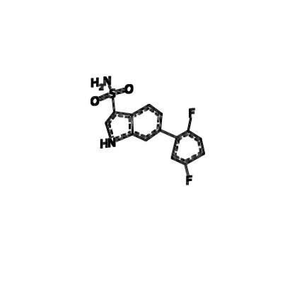 NS(=O)(=O)c1c[nH]c2cc(-c3cc(F)ccc3F)ccc12